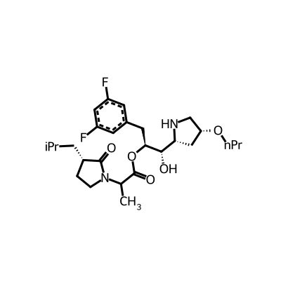 CCCO[C@H]1CN[C@@H]([C@H](O)[C@H](Cc2cc(F)cc(F)c2)OC(=O)C(C)N2CC[C@H](CC(C)C)C2=O)C1